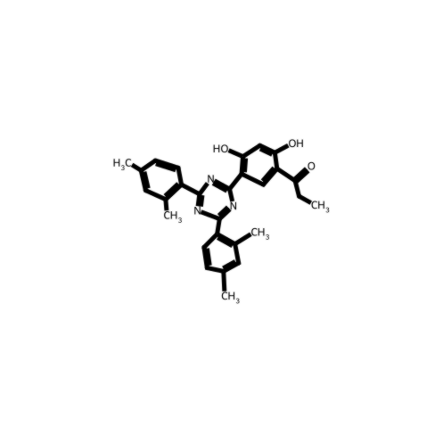 CCC(=O)c1cc(-c2nc(-c3ccc(C)cc3C)nc(-c3ccc(C)cc3C)n2)c(O)cc1O